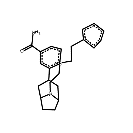 NC(=O)c1cccc(C2CC3CCC(C2)N3CCNCCc2ccccc2)c1